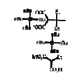 CCC(C)(CC)C(C(=O)[O-])C(=O)[O-].CCCC[N+](CCCC)(CCCC)CCCC.CCCC[N+](CCCC)(CCCC)CCCC.CCOC(=O)C(CC)C(=O)OCC